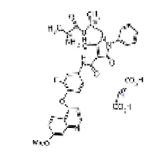 COc1ccc2c(Oc3ccc(NC(=O)c4c(C)n(C[C@H](C)OC(=O)[C@H](C)N)n(-c5ccccc5)c4=O)cc3F)ccnc2c1.O=C(O)/C=C/C(=O)O